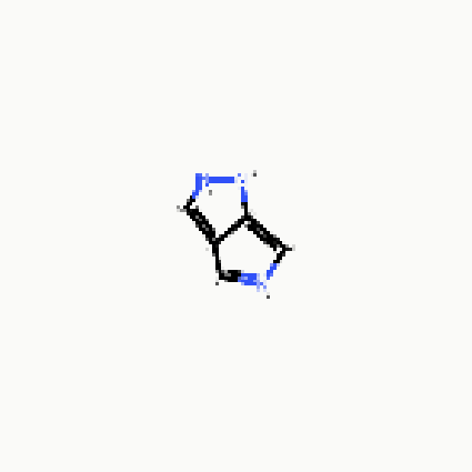 C1=NC=C2[N]NC=C12